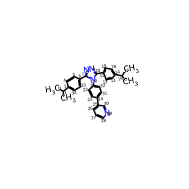 CC(C)c1ccc(-c2nnc(-c3ccc(C(C)C)cc3)n2-c2ccc(-c3cccnc3)cc2)cc1